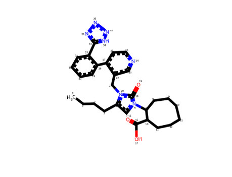 CCCCc1cn(C2CCCCCCC2C(=O)O)c(=O)n1Cc1cnccc1-c1ccccc1-c1nnn[nH]1